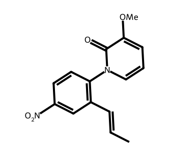 CC=Cc1cc([N+](=O)[O-])ccc1-n1cccc(OC)c1=O